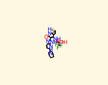 Nc1c(-c2nc3ccc(C4CC5CCC(C4)N5)nc3[nH]2)c(=O)[nH]c2sccc12.O=C(O)C(F)(F)F